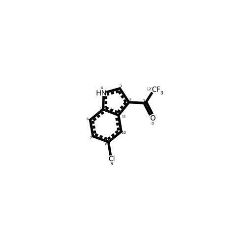 O=C(c1c[nH]c2ccc(Cl)cc12)C(F)(F)F